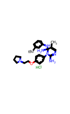 CC1=CN=C(N)N(c2ccc(OCCN3CCCC3)cc2)C1(N)Nc1cccc(C(C)(C)C)c1.Cl